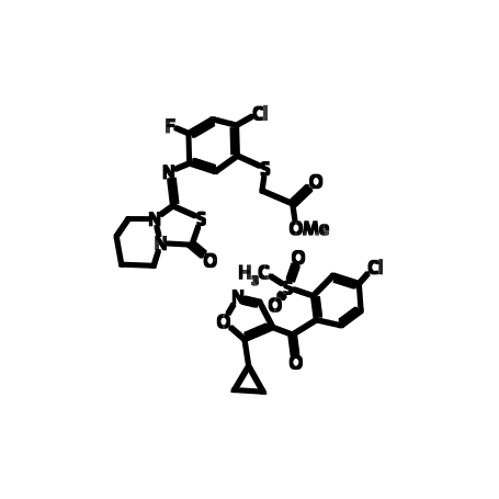 COC(=O)CSc1cc(/N=c2\sc(=O)n3n2CCCC3)c(F)cc1Cl.CS(=O)(=O)c1cc(Cl)ccc1C(=O)c1cnoc1C1CC1